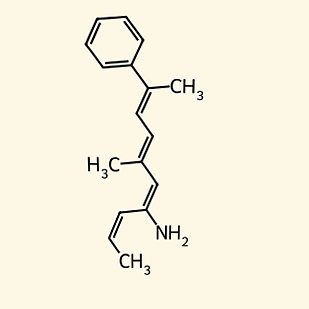 C\C=C/C(N)=C\C(C)=C\C=C(/C)c1ccccc1